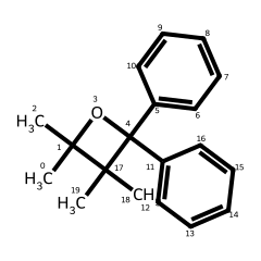 CC1(C)OC(c2ccccc2)(c2ccccc2)C1(C)C